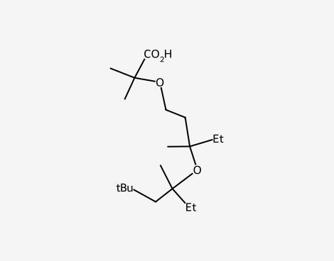 CCC(C)(CCOC(C)(C)C(=O)O)OC(C)(CC)CC(C)(C)C